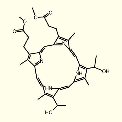 COC(=O)CCC1=C(C)c2cc3[nH]c(cc4[nH]c(cc5nc(cc1n2)C(CCC(=O)OC)=C5C)c(C(C)O)c4C)c(C(C)O)c3C